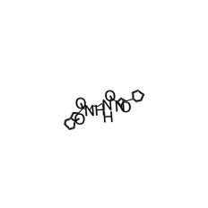 O=C(NCCCNC(=O)c1cc2ccccc2o1)c1cc(-c2ccccc2)on1